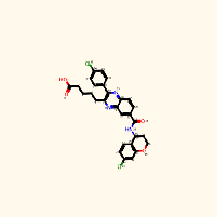 O=C(O)CCCCc1nc2cc(C(=O)N[C@H]3CCOc4cc(Cl)ccc43)ccc2nc1-c1ccc(Cl)cc1